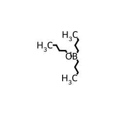 CCCCO[1B](CCCC)CCCC